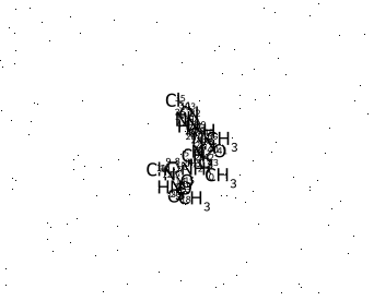 Cc1cc([C@@H](C)Nc2ccc(Cl)nc2C(=O)NS(C)(=O)=O)c2nc(N3C[C@H]4C[C@@H]3CN4c3ncc(Cl)cn3)n(C)c(=O)c2c1